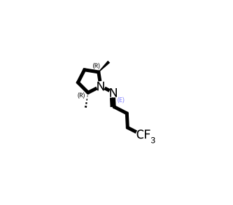 C[C@@H]1CC[C@@H](C)N1/N=C/CCC(F)(F)F